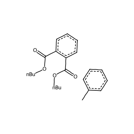 CCCCOC(=O)c1ccccc1C(=O)OCCCC.Cc1ccccc1